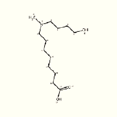 CN(CCCCO)CCCCCCCC(=O)O